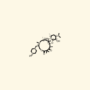 CO[C@]1(C)C[C@@H](C)CN(C)[C@H](CN2CCN(C(C)C)CC2)COC(=O)C(C)(C)C(=O)[C@H](C)[C@H]1O[C@@H]1O[C@H](C)C[C@H](N(C)C)[C@H]1O